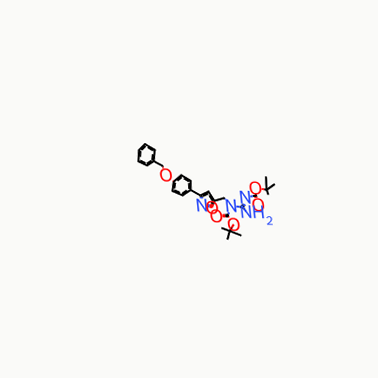 CC(C)(C)OC(=O)N=C(N)N(Cc1cc(-c2ccc(OCc3ccccc3)cc2)no1)C(=O)OC(C)(C)C